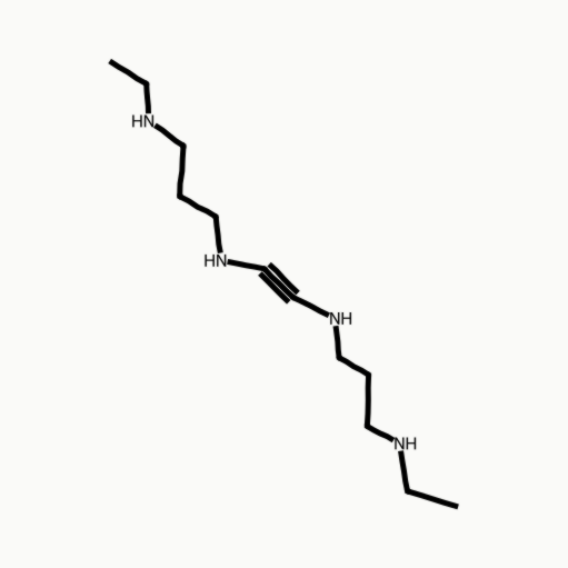 CCNCCCNC#CNCCCNCC